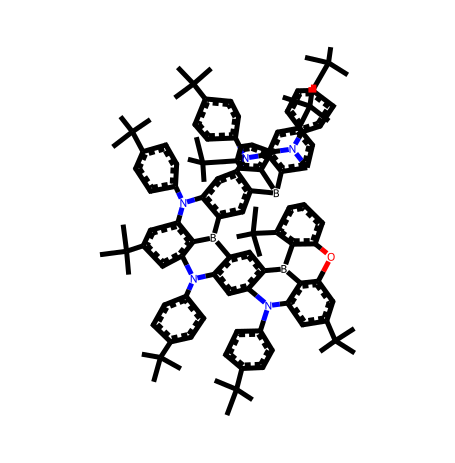 CC(C)(C)c1ccc(N2c3cc4c(cc3B3c5c(cc(C(C)(C)C)cc52)Oc2cccc(C(C)(C)C)c23)B2c3cc5c(cc3N(c3ccc(C(C)(C)C)cc3)c3cc(C(C)(C)C)cc(c32)N4c2ccc(C(C)(C)C)cc2)N(c2ccc(C(C)(C)C)cc2)c2cc(C(C)(C)C)cc3c2B5c2cc(C(C)(C)C)ccc2N3c2ccc(C(C)(C)C)cc2)cc1